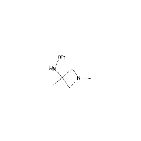 CCCNC1(C)CN(C)C1